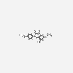 COc1ccc(N(Cc2cnc(SC)nc2Cl)C(=O)O)cc1